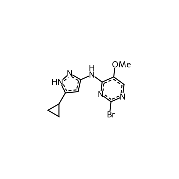 COc1cnc(Br)nc1Nc1cc(C2CC2)[nH]n1